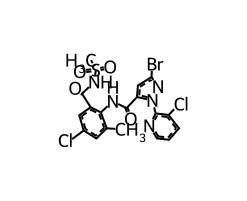 Cc1cc(Cl)cc(C(=O)NS(C)(=O)=O)c1NC(=O)c1cc(Br)nn1-c1ncccc1Cl